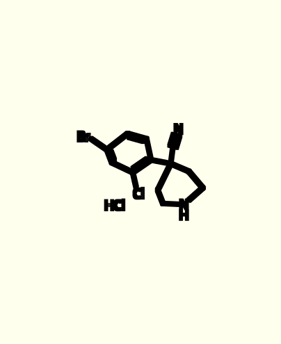 Cl.N#CC1(c2ccc(Br)cc2Cl)CCNCC1